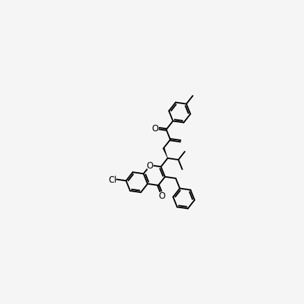 C=C(C[C@H](c1oc2cc(Cl)ccc2c(=O)c1Cc1ccccc1)C(C)C)C(=O)c1ccc(C)cc1